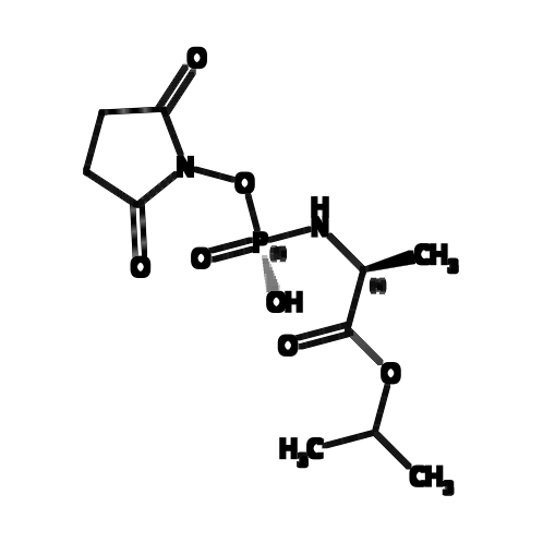 CC(C)OC(=O)[C@H](C)N[P@](=O)(O)ON1C(=O)CCC1=O